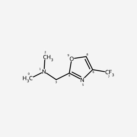 CN(C)Cc1nc(C(F)(F)F)co1